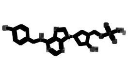 NS(=O)(=O)OC[C@@H]1C[C@@H](n2cnc3c(NCc4ccc(Cl)cc4)ncnc32)C[C@@H]1O